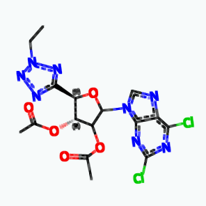 CCn1nnc([C@H]2OC(n3cnc4c(Cl)nc(Cl)nc43)C(OC(C)=O)[C@@H]2OC(C)=O)n1